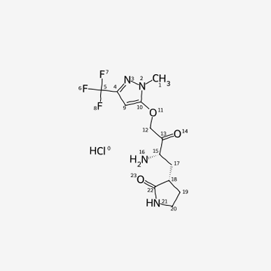 Cl.Cn1nc(C(F)(F)F)cc1OCC(=O)[C@@H](N)C[C@@H]1CCNC1=O